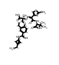 CC1(C)NC(=O)[C@H]1NC(=O)/C(=N\O[C@](C)(C(=O)O)[C@H]1CCc2cc(C(=N)NC34CC(CN)(C3)C4)ccc2O1)c1csc(N)n1